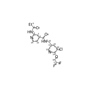 CCC(=O)Nc1cc(C(=O)NCc2cnc(OCC(F)F)c(Cl)c2)ccn1